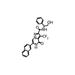 O=C(NC(CO)c1ccccc1)c1nn2cc(-c3ccc4ccccc4c3)[nH]c(=O)c2c1C(F)(F)F